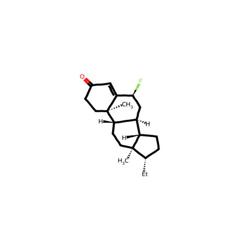 CC[C@H]1CC[C@H]2[C@@H]3C[C@H](F)C4=CC(=O)CC[C@]4(C)[C@H]3CC[C@]12C